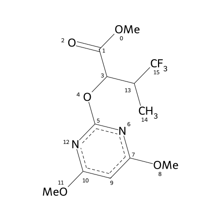 COC(=O)C(Oc1nc(OC)cc(OC)n1)C(C)C(F)(F)F